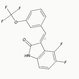 O=C1Nc2ccc(F)c(F)c2/C1=C/c1cccc(OC(F)(F)F)c1